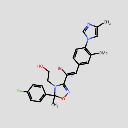 COc1cc(/C=C(\Br)C2=NOC(C)(c3ccc(F)cc3)N2CCO)ccc1-n1cnc(C)c1